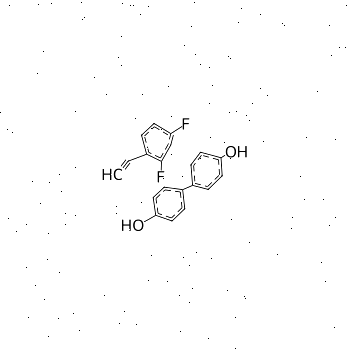 C#Cc1ccc(F)cc1F.Oc1ccc(-c2ccc(O)cc2)cc1